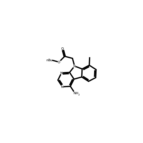 CCCCOC(=O)Cn1c2ncnc(N)c2c2cccc(C)c21